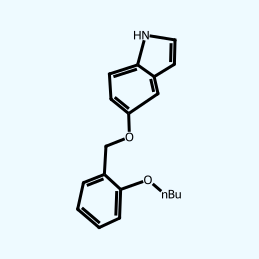 CCCCOc1ccccc1COc1ccc2[nH]ccc2c1